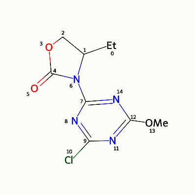 CCC1COC(=O)N1c1nc(Cl)nc(OC)n1